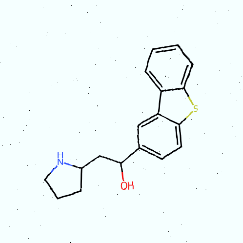 OC(CC1CCCN1)c1ccc2sc3ccccc3c2c1